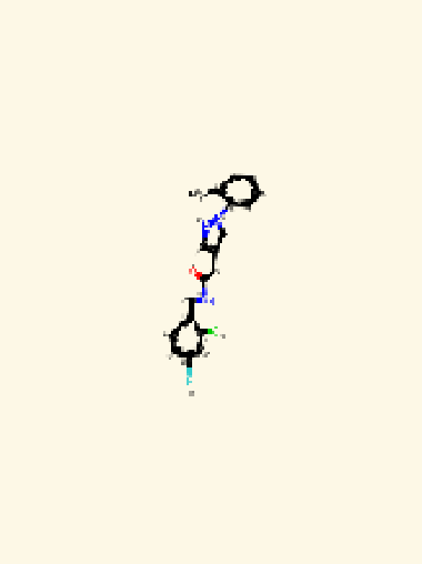 Cc1ccccc1-n1cc(CC(=O)NCc2ccc(F)cc2Cl)cn1